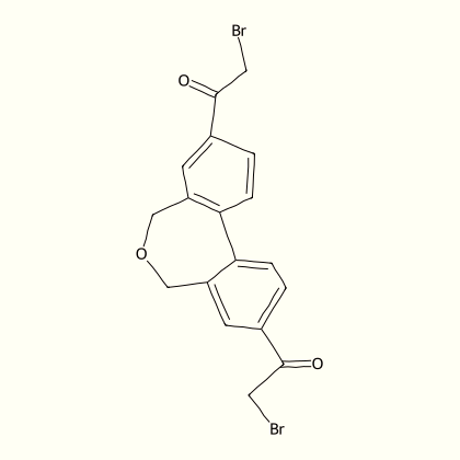 O=C(CBr)c1ccc2c(c1)COCc1cc(C(=O)CBr)ccc1-2